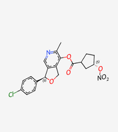 Cc1ncc2c(c1OC(=O)C1CC[C@H](O[N+](=O)[O-])C1)CO[C@H]2c1ccc(Cl)cc1